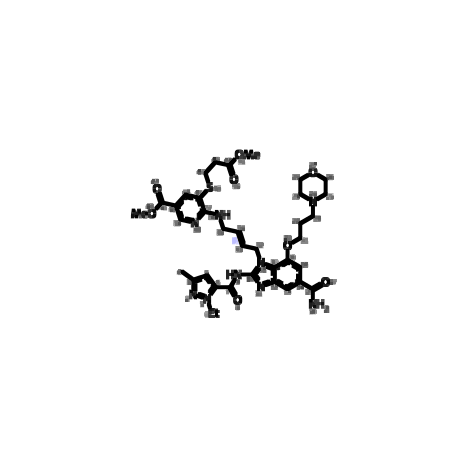 CCn1nc(C)cc1C(=O)Nc1nc2cc(C(N)=O)cc(OCCCN3CCOCC3)c2n1C/C=C/CNc1ncc(C(=O)OC)cc1SCCC(=O)OC